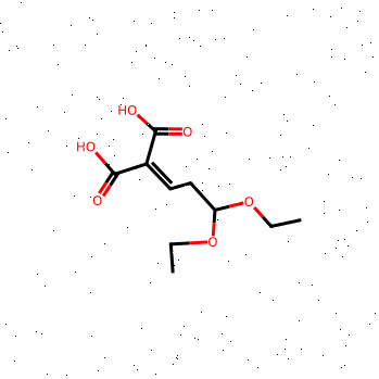 CCOC(CC=C(C(=O)O)C(=O)O)OCC